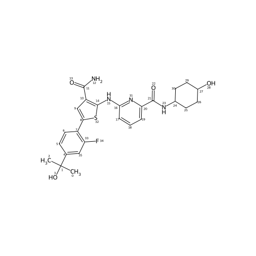 CC(C)(O)c1ccc(-c2cc(C(N)=O)c(Nc3cccc(C(=O)NC4CCC(O)CC4)n3)s2)c(F)c1